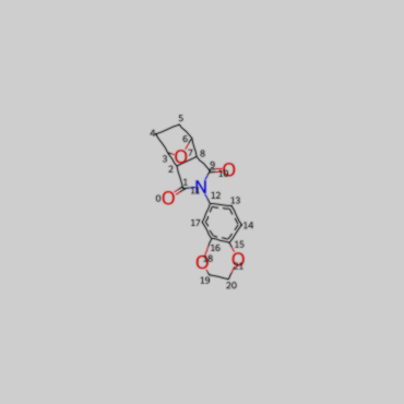 O=C1C2C3CCC(O3)C2C(=O)N1c1ccc2c(c1)OCCO2